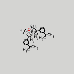 C=C(C)c1cccc(C(C)C[Si](C)(C)O[Si](C)(C)CC(C)c2cccc(C(=C)C)c2)c1